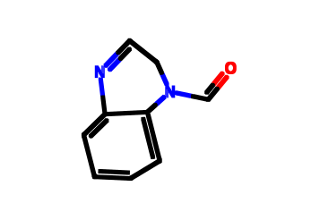 O=CN1CC=Nc2ccccc21